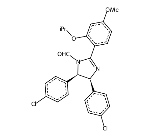 COc1ccc(C2=N[C@@H](c3ccc(Cl)cc3)[C@@H](c3ccc(Cl)cc3)N2C=O)c(OC(C)C)c1